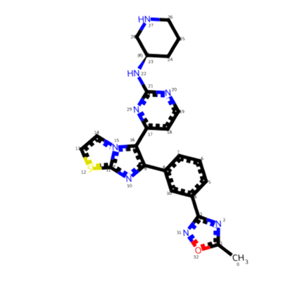 Cc1nc(-c2cccc(-c3nc4sccn4c3-c3ccnc(N[C@@H]4CCCNC4)n3)c2)no1